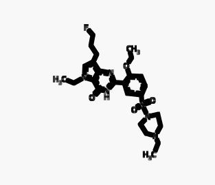 CCOc1ccc(S(=O)(=O)N2CCN(CC)CC2)cc1-c1nc2c(CCCF)cn(CC)c2c(=O)[nH]1